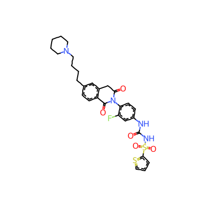 O=C(Nc1ccc(N2C(=O)Cc3cc(CCCCN4CCCCC4)ccc3C2=O)c(F)c1)NS(=O)(=O)c1cccs1